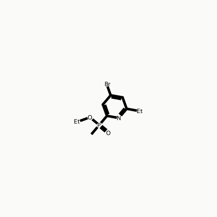 CCOP(C)(=O)c1cc(Br)cc(CC)n1